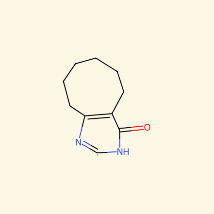 O=c1[nH][c]nc2c1CCCCCC2